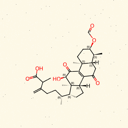 C=C(CC[C@@H](C)[C@H]1CC[C@H]2C3=C(C(=O)[C@H](O)[C@]12C)[C@@]1(C)CC[C@@H](OC=O)[C@@H](C)[C@@H]1CC3=O)C(C)C(=O)O